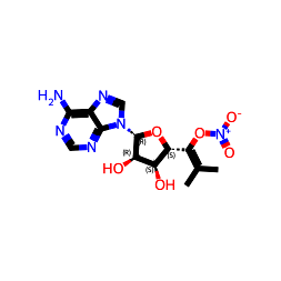 CC(C)=C(O[N+](=O)[O-])[C@H]1O[C@@H](n2cnc3c(N)ncnc32)[C@H](O)[C@@H]1O